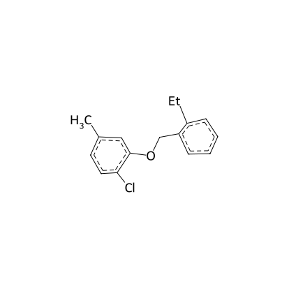 CCc1ccccc1COc1cc(C)ccc1Cl